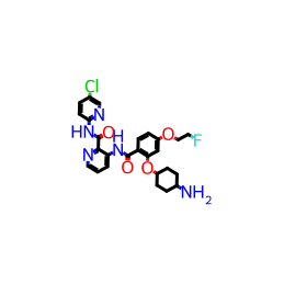 NC1CCC(Oc2cc(OCCF)ccc2C(=O)Nc2cccnc2C(=O)Nc2ccc(Cl)cn2)CC1